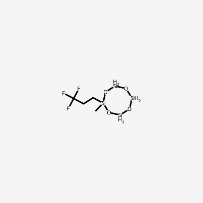 C[Si]1(CCC(F)(F)F)O[SiH2]O[SiH2]O[SiH2]O1